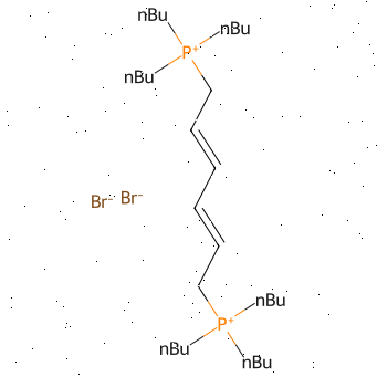 CCCC[P+](CC=CC=CC[P+](CCCC)(CCCC)CCCC)(CCCC)CCCC.[Br-].[Br-]